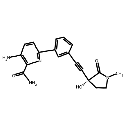 CN1CC[C@@](O)(C#Cc2cccc(-c3ccc(N)c(C(N)=O)n3)c2)C1=O